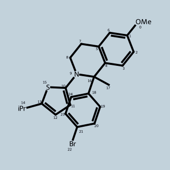 COc1ccc2c(c1)CCN(c1ccc(C(C)C)s1)C2(C)c1ccc(Br)cc1